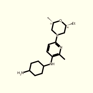 CC[C@@H]1CN(c2ccc(NC3CCC(N)CC3)c(C)n2)C[C@H](C)O1